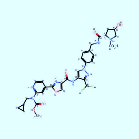 CC(C)(C)OC(=O)N(CC1CC1)c1cc(-c2nc(C(=O)Nc3cn(-c4ccc(CNC(=O)[C@@H]5C[C@@H](O)CN5C(=O)O)cc4)nc3C(F)F)co2)ccn1